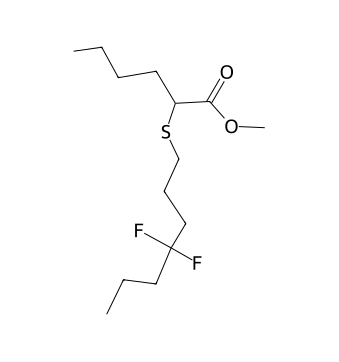 CCCCC(SCCCC(F)(F)CCC)C(=O)OC